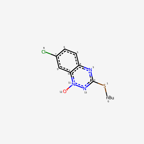 CCCCSc1nc2ccc(Cl)cc2[n+]([O-])n1